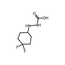 O=C(O)NNC1CCC(F)(F)CC1